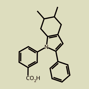 CC1Cc2cc(-c3ccccc3)n(-c3cccc(C(=O)O)c3)c2CC1C